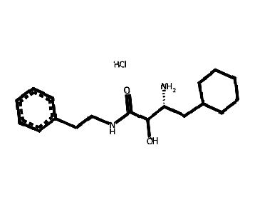 Cl.N[C@H](CC1CCCCC1)C(O)C(=O)NCCc1ccccc1